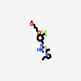 C=C(CN1CCCC1CC)S/C(=N\CC1=CCC=C(OCCCCOC)C(C(F)(F)F)=C1)NC